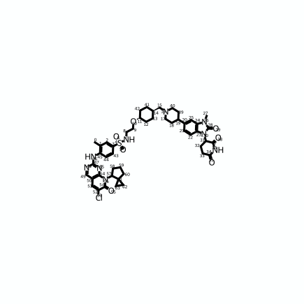 Cc1cc(S(=O)(=O)NCCO[C@H]2CC[C@H](CN3CCC(c4ccc5c(c4)n(C)c(=O)n5C4CCC(=O)NC4=O)CC3)CC2)ccc1Nc1ncc2cc(Cl)c(=O)n(C3CCCC34CC4)c2n1